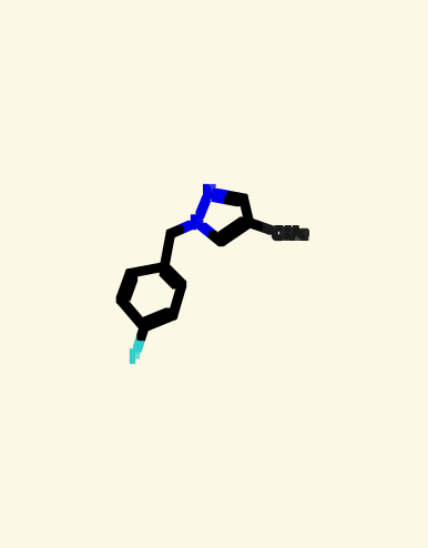 COc1cnn(Cc2ccc(F)cc2)c1